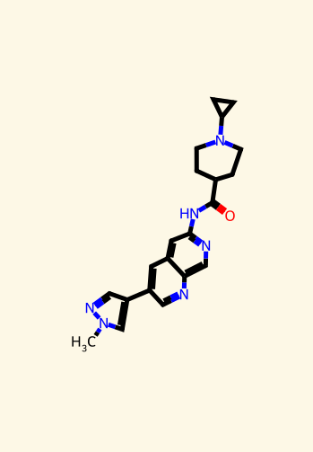 Cn1cc(-c2cnc3cnc(NC(=O)C4CCN(C5CC5)CC4)cc3c2)cn1